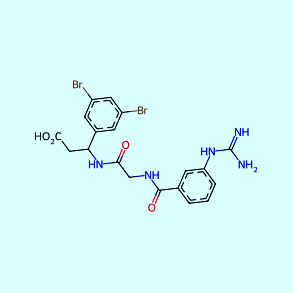 N=C(N)Nc1cccc(C(=O)NCC(=O)NC(CC(=O)O)c2cc(Br)cc(Br)c2)c1